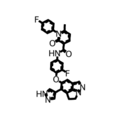 Cc1ccc(C(=O)Nc2ccc(Oc3cc4cnn5c4c(c3-c3cn[nH]c3)CC5)c(F)c2)c(=O)n1-c1ccc(F)cc1